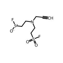 C#CCN(CC[S+]([O-])F)CCS(=O)(=O)F